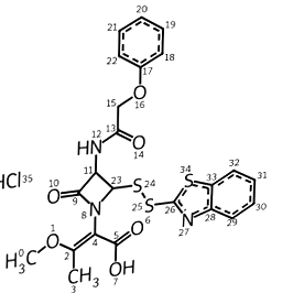 COC(C)=C(C(=O)O)N1C(=O)C(NC(=O)COc2ccccc2)C1SSc1nc2ccccc2s1.Cl